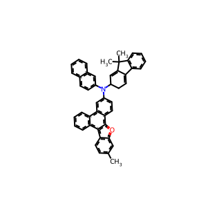 Cc1ccc2c(c1)oc1c3ccc(N(c4ccc5ccccc5c4)C4C=C5C(=CC4)c4ccccc4C5(C)C)cc3c3ccccc3c21